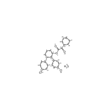 O=C(Oc1cccc(-c2ccc(Cl)cc2)c1-c1ccc(Cl)cc1)C(=O)c1ccccc1.S